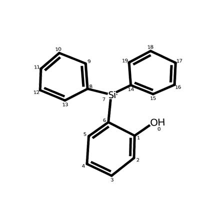 Oc1ccccc1[Si](c1ccccc1)c1ccccc1